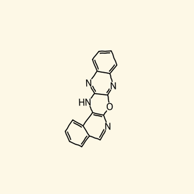 c1ccc2c3c(ncc2c1)Oc1nc2ccccc2nc1N3